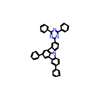 c1ccc(-c2ccc3c(c2)c2cc(-c4ccccc4)cc4c5cc(-c6nc(-c7ccccc7)nc(-c7ccccc7)n6)ccc5n3c24)cc1